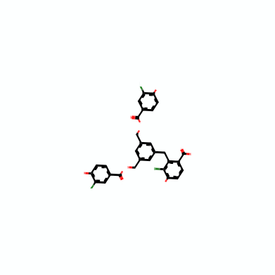 O=C(OCc1cc(COC(=O)c2ccc(O)c(Cl)c2)cc(Cc2c(C(=O)O)ccc(O)c2Cl)c1)c1ccc(O)c(Cl)c1